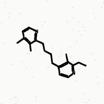 CCc1nccc(CCCCc2nccc(C)c2C)c1C